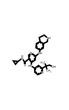 CC(C)(CO)c1cc(Nc2cc(Nc3ccc4c(c3)CNCC4)ncc2C(=O)NC2CC2)ccn1